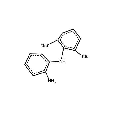 CC(C)(C)c1cccc(C(C)(C)C)c1Nc1ccccc1N